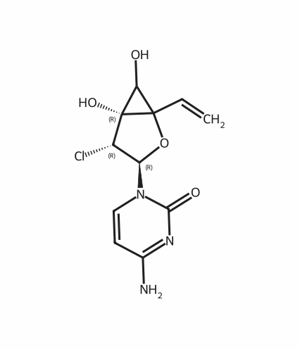 C=CC12O[C@@H](n3ccc(N)nc3=O)[C@H](Cl)[C@@]1(O)C2O